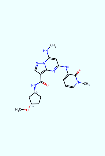 CNc1cc(Nc2cccn(C)c2=O)nc2c(C(=O)N[C@H]3CC[C@H](OC)C3)cnn12